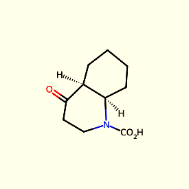 O=C1CCN(C(=O)O)[C@@H]2CCCC[C@H]12